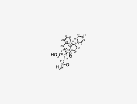 Cc1ccc(-c2ccc(C(=O)N([C@@H](CCC(N)=O)C(=O)O)C(C)(C)Cc3ccccc3)cc2)cc1